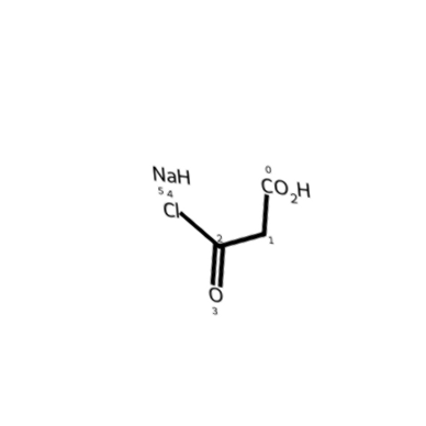 O=C(O)CC(=O)Cl.[NaH]